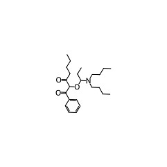 CCCCC(=O)C(OC(CC)N(CCCC)CCCC)C(=O)c1ccccc1